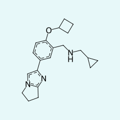 c1cc(OC2CCC2)c(CNCC2CC2)cc1-c1cn2c(n1)CCC2